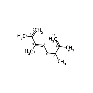 C=C(C)C(C)=CCC(C)C(=C)C